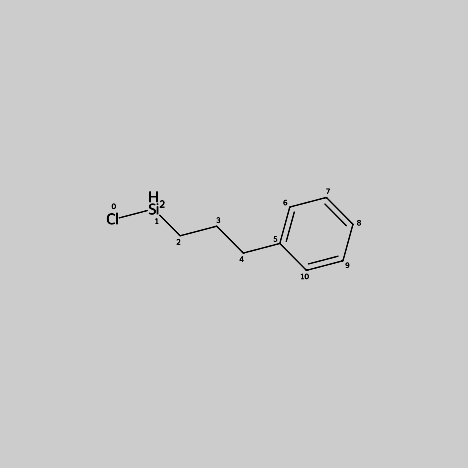 Cl[SiH2]CCCc1ccccc1